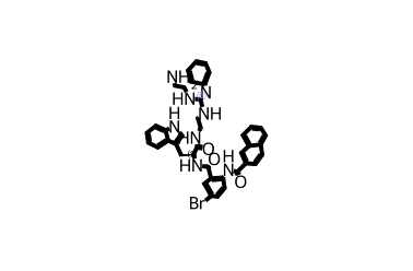 NCCN/C(=N\c1ccccc1)NCCNC(=O)[C@H](Cc1c[nH]c2ccccc12)NC(=O)c1cc(Br)ccc1NC(=O)c1ccc2ccccc2c1